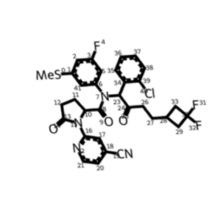 CSc1cc(F)cc(N(C(=O)C2CCC(=O)N2c2cc(C#N)ccn2)C(C(=O)CCC2CC(F)(F)C2)c2ccccc2Cl)c1